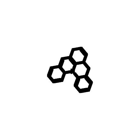 C1=CC2=CC3=C4C(C=CC3)Cc3ccccc3N4C2C=C1